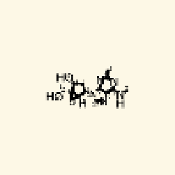 CNc1nc(C)nc2c1ncn2[C@H]1C[C@H](O)[C@]2(CO)C[C@H]12